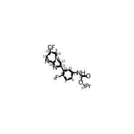 CC(C)OC(=O)Nc1ccc(F)c(-c2cn3cc(C(F)(F)F)cnc3n2)c1